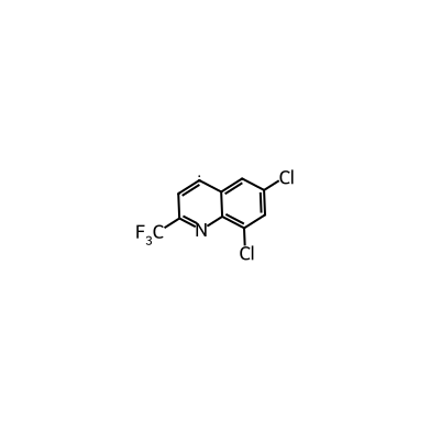 FC(F)(F)c1c[c]c2cc(Cl)cc(Cl)c2n1